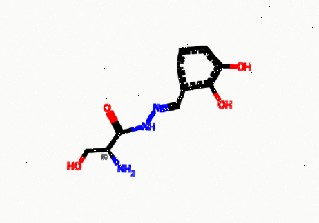 N[C@@H](CO)C(=O)NN=Cc1cccc(O)c1O